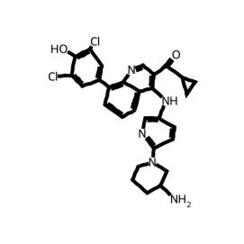 NC1CCCN(c2ccc(Nc3c(C(=O)C4CC4)cnc4c(-c5cc(Cl)c(O)c(Cl)c5)cccc34)cn2)C1